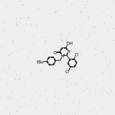 CC(C)(C)c1ccc(Cn2c(-c3cc(Cl)ccc3Cl)nc(O)cc2=O)cc1